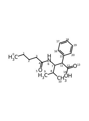 CCCCC(=O)NC(C(C)C)C(C(=O)O)c1ccccc1